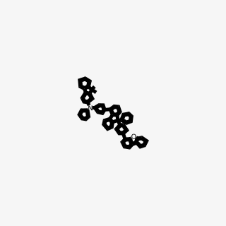 CC1(C)c2ccccc2-c2ccc(N(c3ccccc3)c3ccc(-c4cccc5c4-c4ccccc4C5(c4ccccc4)c4ccc(-c5cccc6c5oc5ccccc56)cc4)cc3)cc21